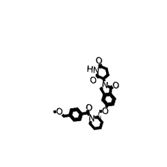 COCc1ccc(C(=O)N2CCCC[C@H]2COc2ccc3c(c2)CN(C2CCC(=O)NC2=O)C3=O)cc1